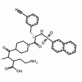 CC(C(=O)C1CCN(C(=O)[C@H](Cc2cccc(C#N)c2)NS(=O)(=O)c2ccc3ccccc3c2)CC1)C(CCN)C(=O)O